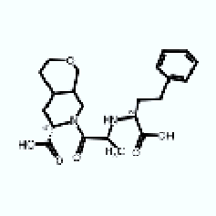 CC(N[C@@H](CCc1ccccc1)C(=O)O)C(=O)N1CC2COCCC2C[C@H]1C(=O)O